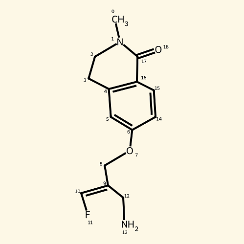 CN1CCc2cc(OC/C(=C/F)CN)ccc2C1=O